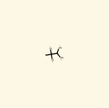 CCC[C](CCC)C(C)(CC)CC